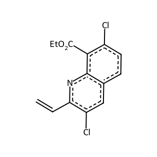 C=Cc1nc2c(C(=O)OCC)c(Cl)ccc2cc1Cl